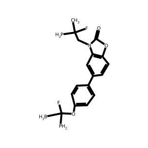 BC(F)(P)Oc1ccc(-c2ccc3oc(=O)n(CC(C)(F)P)c3c2)cc1